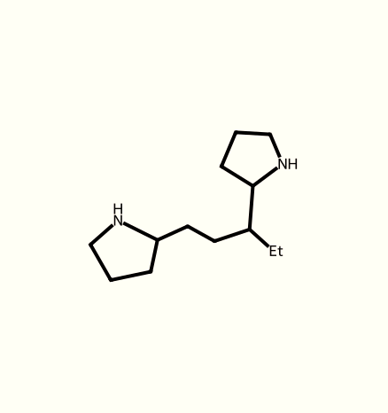 [CH2]CC(CCC1CCCN1)C1CCCN1